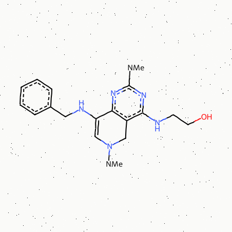 CNc1nc(NCCO)c2c(n1)C(NCc1ccccc1)=CN(NC)C2